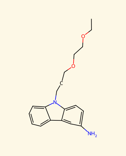 CCOCCOCCCn1c2ccccc2c2cc(N)ccc21